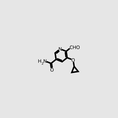 NC(=O)c1cnc(C=O)c(OC2CC2)c1